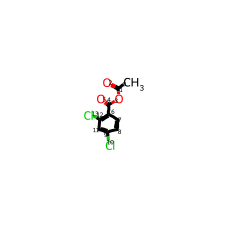 CC(=O)OC(=O)c1ccc(Cl)cc1Cl